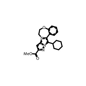 COC(=O)c1cc2n3c(c(C4CCCCC4)n2n1)-c1ccccc1OCC3